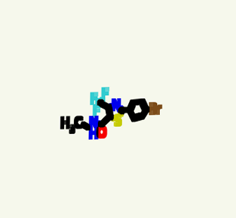 CCNC(=O)c1sc(-c2ccc(Br)cc2)nc1C(F)(F)F